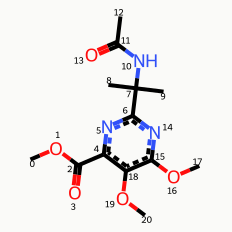 COC(=O)c1nc(C(C)(C)NC(C)=O)nc(OC)c1OC